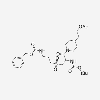 CC(=O)OCCC1CCN(C(=O)C(CS(=O)(=O)CCCNC(=O)OCc2ccccc2)NC(=O)OC(C)(C)C)CC1